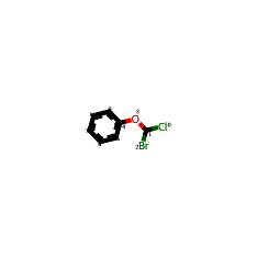 ClC(Br)Oc1ccccc1